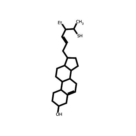 CCC(/C=C/CC1CCC2C1CCC1C3CCC(O)CC3=CCC12)C(C)S